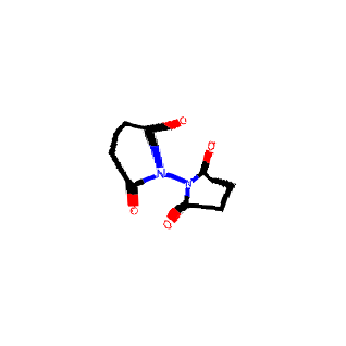 O=C1CCC(=O)N1N1C(=O)CCC1=O